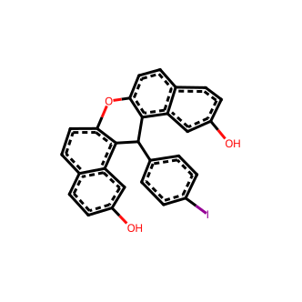 Oc1ccc2ccc3c(c2c1)C(c1ccc(I)cc1)c1c(ccc2ccc(O)cc12)O3